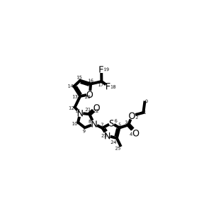 CCOC(=O)c1sc(N2CCN(Cc3ccc(C(F)F)o3)C2=O)nc1C